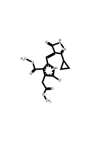 COC(=O)Cc1c(Cl)[nH]c(C=C2C(=O)NN=C2C2CC2)c1C(=O)OC